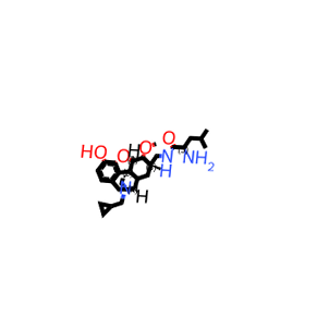 COC1[C@@H]2Oc3c(O)ccc4c3[C@@]23CCN(CC2CC2)[C@H](C4)C3C[C@@]1(C)CNC(=O)[C@@H](N)CC(C)C